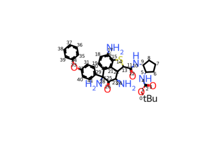 CC(C)(C)OC(=O)N[C@H]1CCC[C@H]1NC(=O)C1Sc2c(N)ccc3c2C1C(N)C(=O)C3(N)c1ccc(Oc2ccccc2)cc1